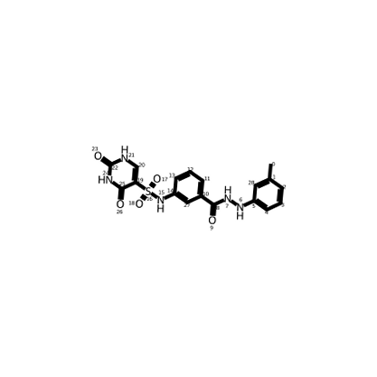 Cc1cccc(NNC(=O)c2cccc(NS(=O)(=O)c3c[nH]c(=O)[nH]c3=O)c2)c1